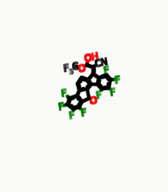 N#C/C(=C1/c2ccc3c(c2-c2c(F)c(F)c(F)c(F)c21)C(=O)c1c(F)c(F)c(F)c(F)c1-3)C(O)OC(F)(F)F